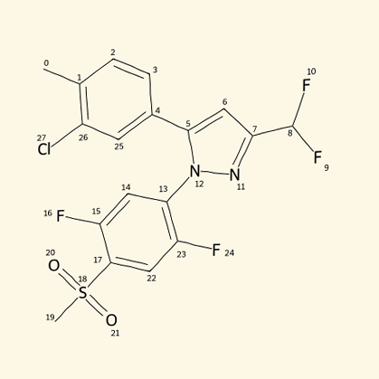 Cc1ccc(-c2cc(C(F)F)nn2-c2cc(F)c(S(C)(=O)=O)cc2F)cc1Cl